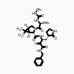 CC(C)(C)NC(=O)N[C@H](C(=O)N1C[C@H]2[C@@H]([C@H]1C(=O)N[C@@H](C[C@@H]1CCNC1=O)C(=O)C(=O)NCc1ccccc1)C2(C)C)C(C)(C)C